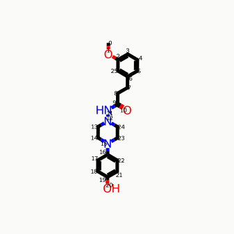 COc1cccc(CCC(=O)NN2CCN(c3ccc(O)cc3)CC2)c1